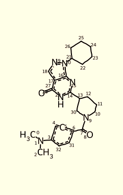 CN(C)c1ccc(C(=O)N2CCCC(c3nc4c(cnn4C4CCCCC4)c(=O)[nH]3)C2)cc1